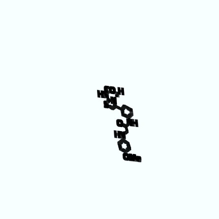 COc1ccc(NCC(=O)Nc2cccc(-c3csc(NC(=O)O)n3)c2)cc1